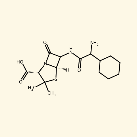 CC1(C)S[C@@H]2C(NC(=O)C(N)C3CCCCC3)C(=O)N2[C@H]1C(=O)O